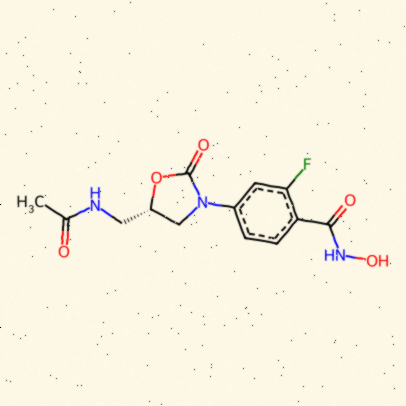 CC(=O)NC[C@H]1CN(c2ccc(C(=O)NO)c(F)c2)C(=O)O1